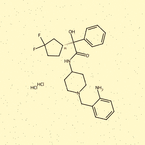 Cl.Cl.Nc1ccccc1CN1CCC(NC(=O)C(O)(c2ccccc2)[C@@H]2CCC(F)(F)C2)CC1